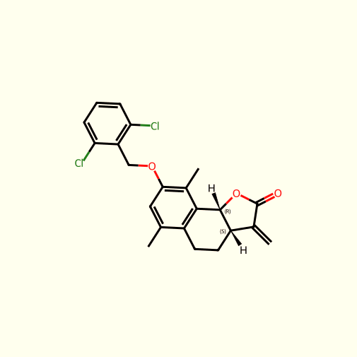 C=C1C(=O)O[C@H]2c3c(C)c(OCc4c(Cl)cccc4Cl)cc(C)c3CC[C@@H]12